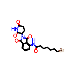 O=C1CCC(N2C(=O)c3cccc(NC(=O)CCCCCCBr)c3C2=O)C(=O)N1